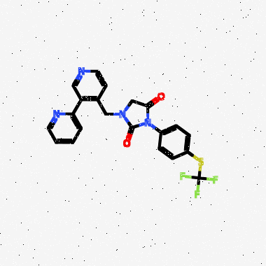 O=C1CN(Cc2ccncc2-c2ccccn2)C(=O)N1c1ccc(SC(F)(F)F)cc1